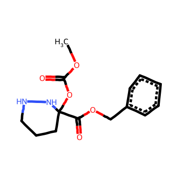 COC(=O)OC1(C(=O)OCc2ccccc2)CCCNN1